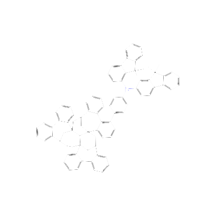 CC1(C)c2ccccc2-c2ccc(N(c3ccc(-c4cccc5c4-c4ccccc4C4CC67CC(CCC89CC(CC5(C4)C86)c4ccccc4-c4ccccc49)c4ccccc4-c4ccccc47)cc3)c3cccc4c3C(C)(C)c3ccccc3-4)cc21